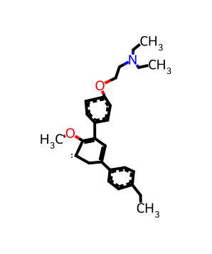 CCc1ccc(C2=CC(c3ccc(OCCN(CC)CC)cc3)=C(OC)[C]C2)cc1